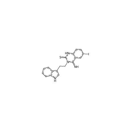 N=c1c2cc(I)ccc2[nH]c(=S)n1CCc1c[nH]c2ccccc12